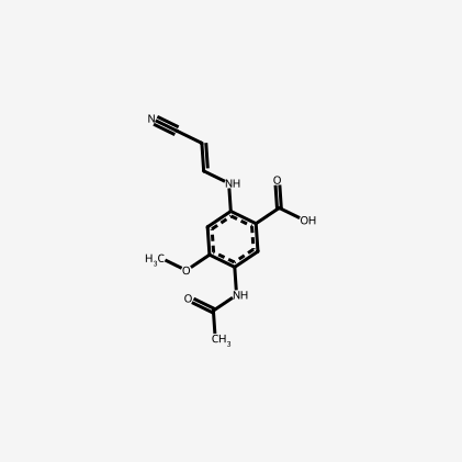 COc1cc(NC=CC#N)c(C(=O)O)cc1NC(C)=O